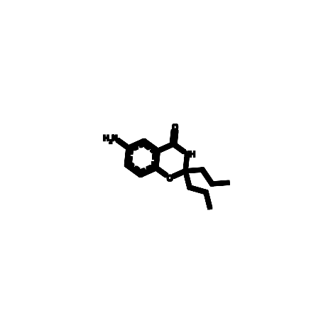 CCCC1(CCC)NC(=O)c2cc(N)ccc2O1